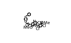 COc1cc(Nc2c(C#N)cnc3cc(-c4coc(CN5CCN(Cc6ccccc6)CC5)c4)c(OC)cc23)c(Cl)cc1Cl